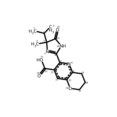 CC(C)C1(C)N=C(c2nc3c(cc2C(=O)O)OCCC3)NC1=O